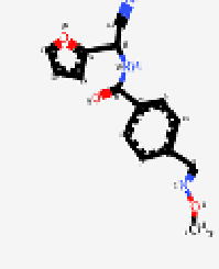 CON=Cc1ccc(C(=O)NC(C#N)c2ccco2)cc1